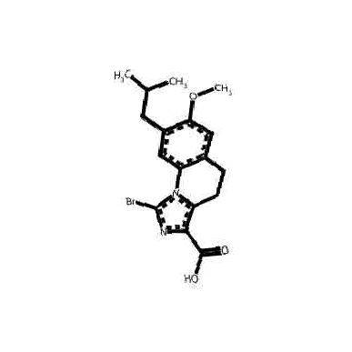 COc1cc2c(cc1CC(C)C)-n1c(Br)nc(C(=O)O)c1CC2